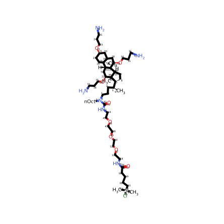 CCCCCCCCN(CCC[C@@H](C)[C@H]1CC[C@H]2C3[C@H](OCCCN)CC4C[C@H](OCCCN)CC[C@]4(C)[C@H]3C[C@H](OCCCN)C12C)C(=O)NCCOCCOCCOCCNC(=O)CCCC[Si](C)(C)Cl